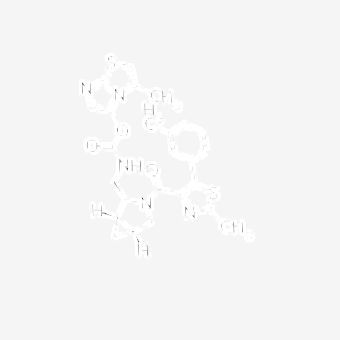 Cc1cccc(-c2sc(C)nc2C(=O)N2C[C@@H]3C[C@@H]3[C@H]2CNC(=O)Oc2cnc3scc(C)n23)c1